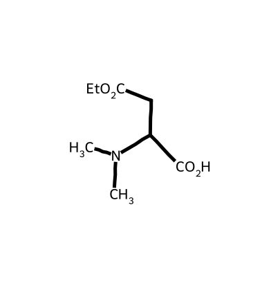 CCOC(=O)CC(C(=O)O)N(C)C